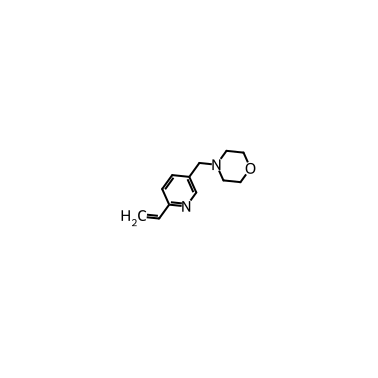 C=Cc1ccc(CN2CCOCC2)cn1